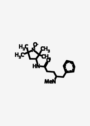 CNC(CCC(=O)NC1CC(C)(C)N([O])C1(C)C)Cc1ccccc1